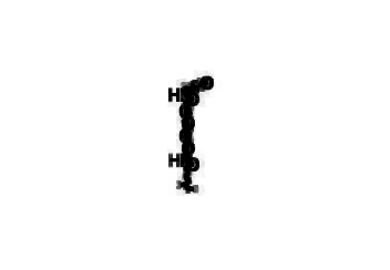 CCC(C)CCCCC(=O)NCCOCCOCCOCCOCCC(=O)NC(C)CSCC=O